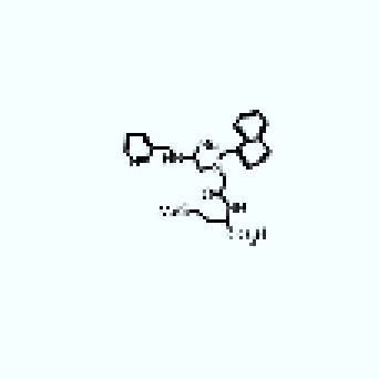 CCC(C)C(CN(CC(=O)NC(CCSC)C(=O)O)Cc1cccc2ccccc12)NCc1cccnc1